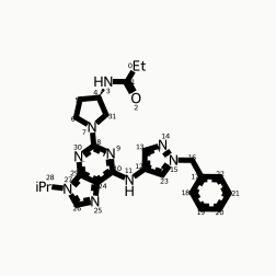 CCC(=O)N[C@H]1CCN(c2nc(Nc3cnn(Cc4ccccc4)c3)c3ncn(C(C)C)c3n2)C1